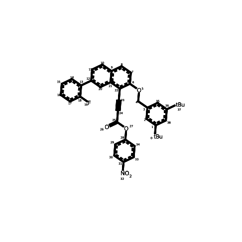 CC(C)(C)c1cc(COc2ccc3ccc(-c4ccccc4F)cc3c2C#CC(=O)Oc2ccc([N+](=O)[O-])cc2)cc(C(C)(C)C)c1